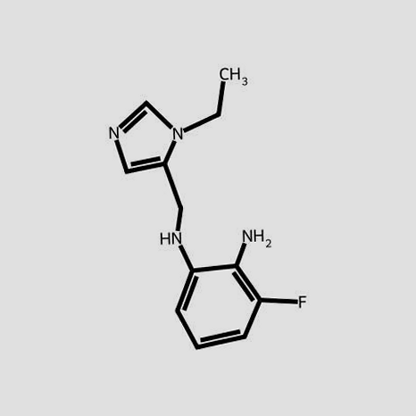 CCn1cncc1CNc1cccc(F)c1N